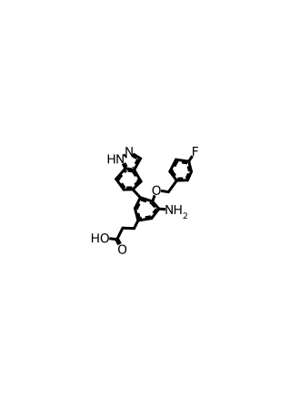 Nc1cc(CCC(=O)O)cc(-c2ccc3[nH]ncc3c2)c1OCc1ccc(F)cc1